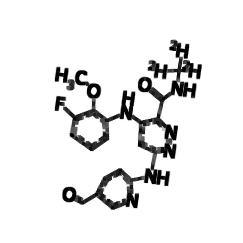 [2H]C([2H])([2H])NC(=O)c1nnc(Nc2ccc(C=O)cn2)cc1Nc1cccc(F)c1OC